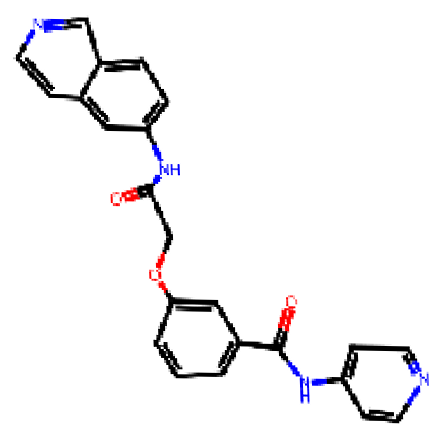 O=C(COc1cccc(C(=O)Nc2ccncc2)c1)Nc1ccc2cnccc2c1